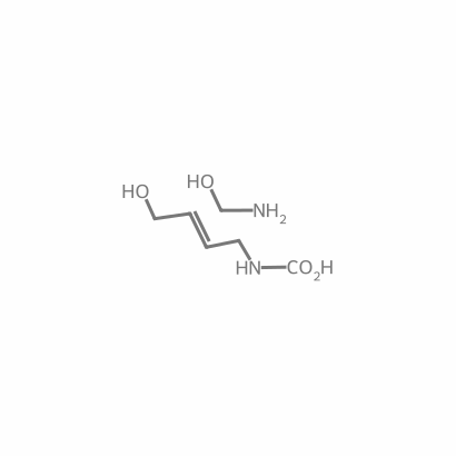 NCO.O=C(O)NCC=CCO